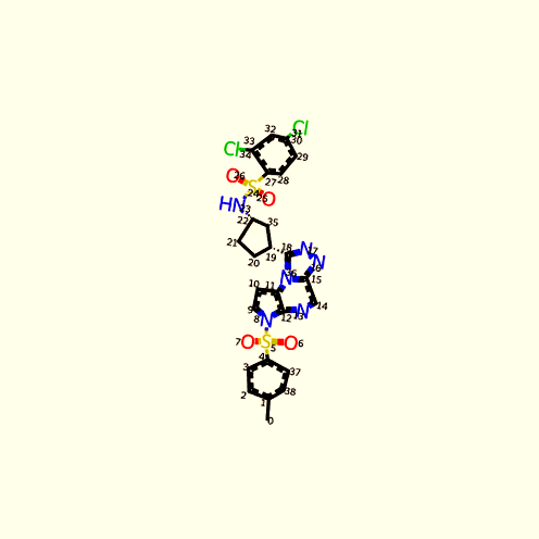 Cc1ccc(S(=O)(=O)n2ccc3c2ncc2nnc([C@@H]4CC[C@H](NS(=O)(=O)c5ccc(Cl)cc5Cl)C4)n23)cc1